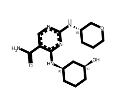 NC(=O)c1cnc(N[C@H]2CCCOC2)nc1N[C@@H]1CCC[C@H](O)C1